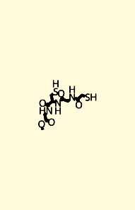 COC(=O)CNC(=O)C(CS)NC(=O)CNC(=O)CS